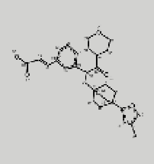 Cc1noc(C23CCC(CN(C(=O)C4CCOCC4)c4cccc(/C=C/C(=O)O)c4)(CC2)CC3)n1